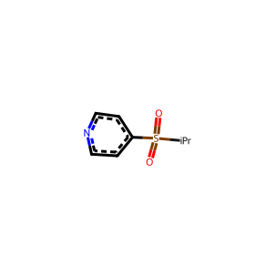 CC(C)S(=O)(=O)c1ccncc1